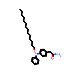 CCCCCCCCCCCCCCON(c1ccccc1)c1ccc(CC(N)=O)cc1